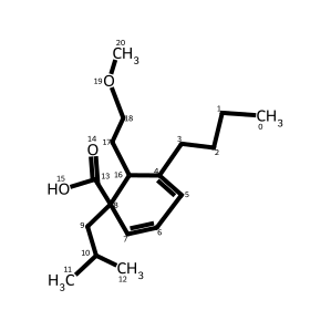 CCCCC1=CC=CC(CC(C)C)(C(=O)O)C1CCOC